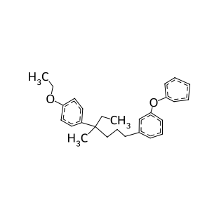 CCOc1ccc(C(C)(CC)CCCc2cccc(Oc3ccccc3)c2)cc1